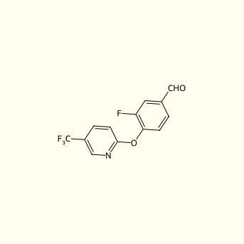 O=Cc1ccc(Oc2ccc(C(F)(F)F)cn2)c(F)c1